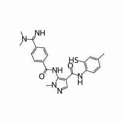 Cc1ccc(NC(=O)c2cnn(C)c2NC(=O)c2ccc(C(=N)N(C)C)cc2)c(S)c1